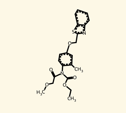 CCOC(=O)N(C(=O)COC)c1ccc(OCc2nc3ccccc3s2)cc1C